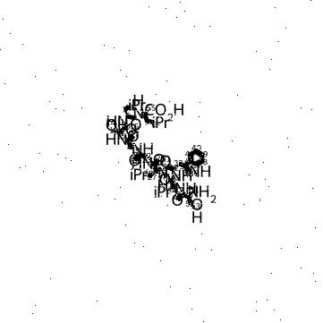 CC(C)C[C@H](NC(=O)[C@H](CC(C)C)NC(=O)[C@H](CO)NC(=O)CNC(=O)CNC(=O)[C@H](CC(C)C)NC(=O)[C@H](Cc1c[nH]c2ccccc12)NC(=O)[C@@H](NC(=O)[C@@H](N)CO)C(C)C)C(=O)O